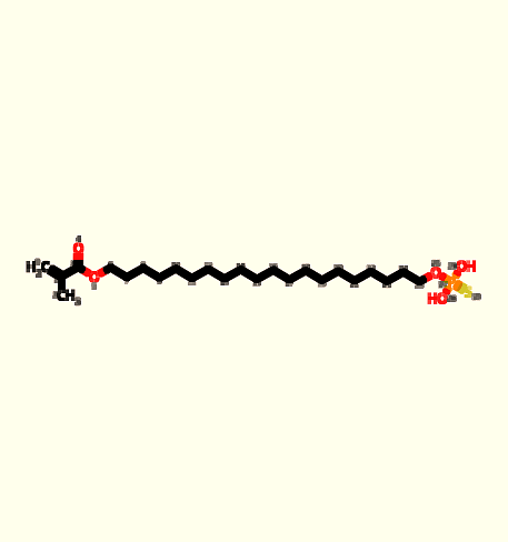 C=C(C)C(=O)OCCCCCCCCCCCCCCCCCCCCOP(O)(O)=S